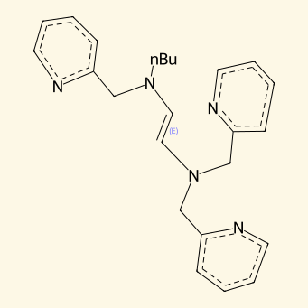 CCCCN(/C=C/N(Cc1ccccn1)Cc1ccccn1)Cc1ccccn1